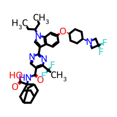 CCC(CC)n1cc(-c2ncc(C(=O)NC3(C(=O)O)C4CC5CC(C4)CC3C5)c(C(C)(F)F)n2)c2ccc(O[C@H]3CC[C@H](N4CC(F)(F)C4)CC3)cc21